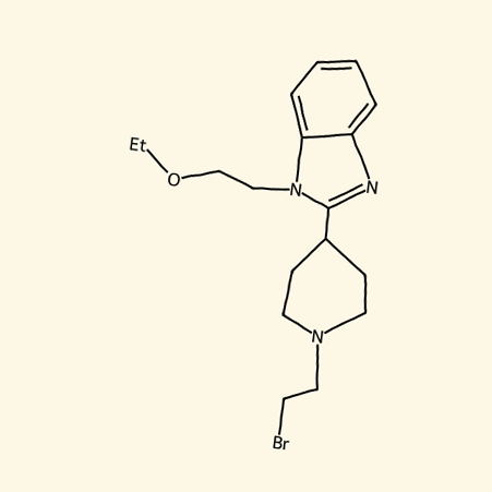 CCOCCn1c(C2CCN(CCBr)CC2)nc2ccccc21